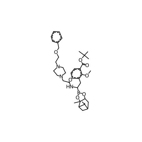 COc1c(CC(NC(=O)CN2CCN(CCOCc3ccccc3)CC2)B2OC3CC4CC(C4(C)C)C3(C)O2)cccc1C(=O)OC(C)(C)C